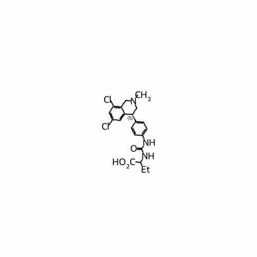 CCC(NC(=O)Nc1ccc([C@@H]2CN(C)Cc3c(Cl)cc(Cl)cc32)cc1)C(=O)O